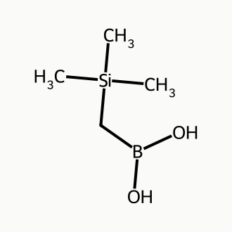 C[Si](C)(C)CB(O)O